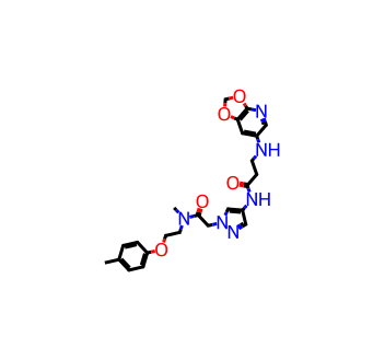 Cc1ccc(OCCN(C)C(=O)Cn2cc(NC(=O)CCNc3cnc4c(c3)OCO4)cn2)cc1